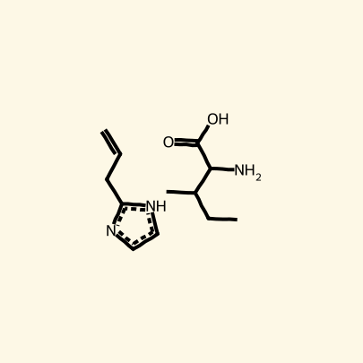 C=CCc1ncc[nH]1.CCC(C)C(N)C(=O)O